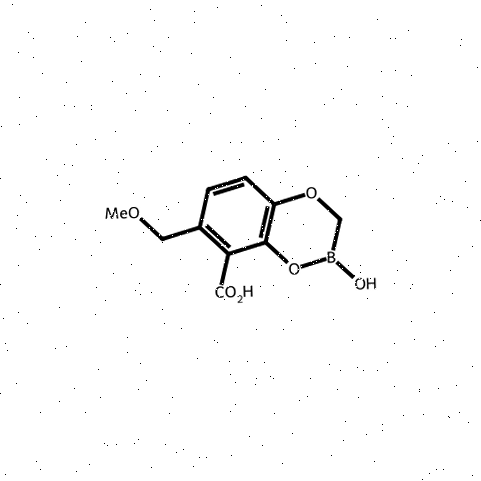 COCc1ccc2c(c1C(=O)O)OB(O)CO2